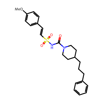 COc1ccc(C=CS(=O)(=O)NC(=O)N2CCC(CCCc3ccccc3)CC2)cc1